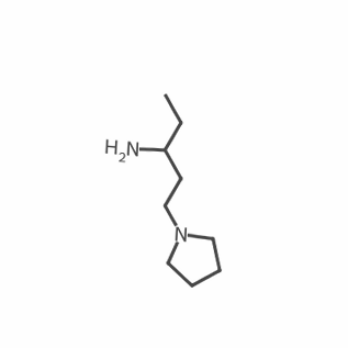 CCC(N)CCN1CCCC1